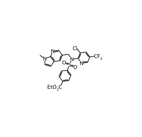 CCOC(=O)c1ccc(S(=O)(=O)N(Cc2cnc3c(ccn3C)c2)c2ncc(C(F)(F)F)cc2Cl)cc1